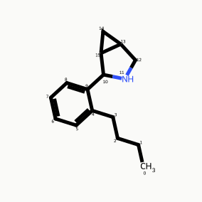 CCCCc1ccccc1C1NCC2CC21